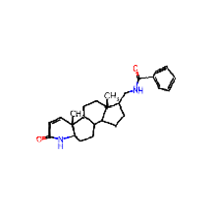 CC12C=CC(=O)NC1CCC1C2CCC2(C)C(CNC(=O)c3ccccc3)CCC12